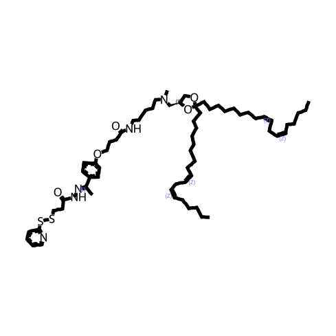 CCCCC/C=C\C/C=C\CCCCCCCCC1(CCCCCCCC/C=C\C/C=C\CCCCC)OC[C@H](CN(C)CCCCCNC(=O)CCCOc2ccc(/C(C)=N/NC(=O)CCSSc3ccccn3)cc2)O1